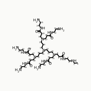 CCNCCNC(=O)CCN(CCCN(CCCN(CCC(=O)NCCN)CCC(=O)NCCN)CCCN(CCC(=O)NCCN)CCC(=O)NCCN)CCC(=O)NCCN